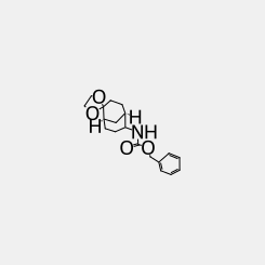 O=C(NC1CC[C@@H]2C[C@H]1CCC21OCCO1)OCc1ccccc1